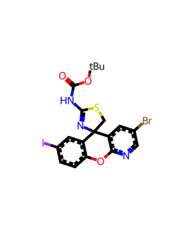 CC(C)(C)OC(=O)NC1=NC2(CS1)c1cc(I)ccc1Oc1ncc(Br)cc12